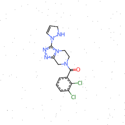 O=C(c1cccc(Cl)c1Cl)N1CCn2c(nnc2N2C=CCN2)C1